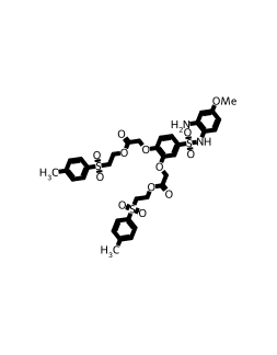 COc1ccc(NS(=O)(=O)c2ccc(OCC(=O)OCCS(=O)(=O)c3ccc(C)cc3)c(OCC(=O)OCCS(=O)(=O)c3ccc(C)cc3)c2)c(N)c1